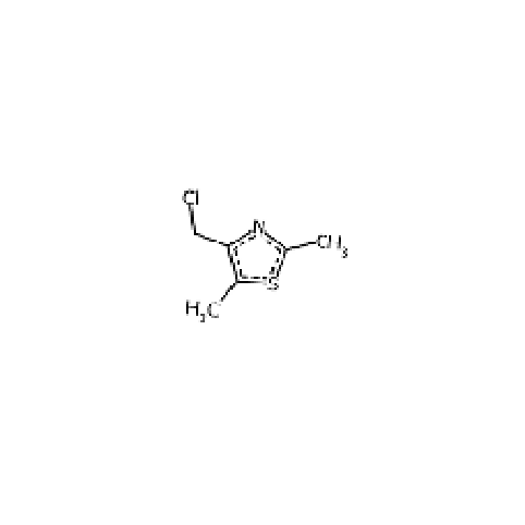 Cc1nc(CCl)c(C)s1